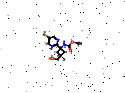 CC(C)(C)OC(=O)N[C@]1(c2ncc(Br)cn2)C[C@](C)(CO)C1